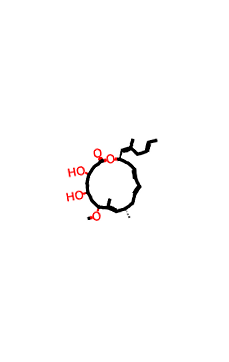 C/C=C/C/C(C)=C\[C@H]1C/C=C/C=C/C[C@H](C)/C=C(\C)[C@@H](OC)C[C@@H](O)C[C@@H](O)CC(=O)O1